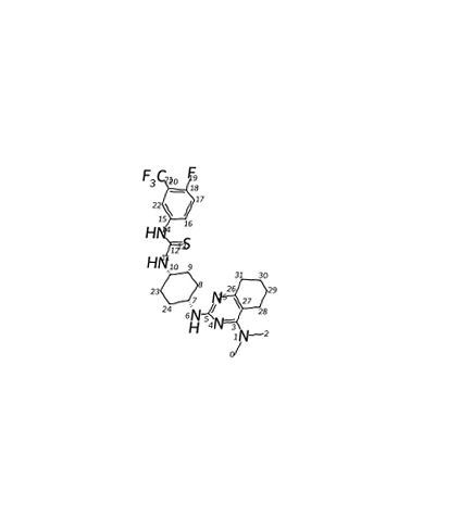 CN(C)c1nc(N[C@H]2CC[C@@H](NC(=S)Nc3ccc(F)c(C(F)(F)F)c3)CC2)nc2c1CCCC2